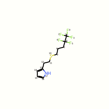 FC(F)(F)C(F)(F)CCCSCCc1ccc[nH]1